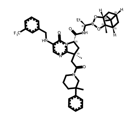 CC[C@H](NC(=O)[C@@H]1C[C@@](C)(CC(=O)N2CCCC(C)(c3ccccc3)C2)c2ncc(NCc3cccc(C(F)(F)F)c3)c(=O)n21)B1O[C@@H]2C[C@@H]3C[C@@H](C3(C)C)[C@]2(C)O1